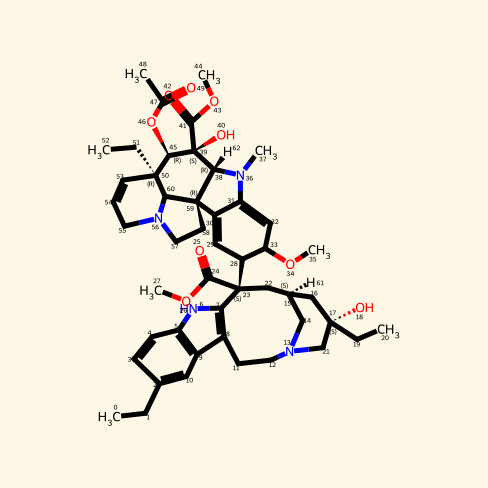 CCc1ccc2[nH]c3c(c2c1)CCN1C[C@H](C[C@@](O)(CC)C1)C[C@]3(C(=O)OC)C1C=C2C(=CC1OC)N(C)[C@H]1[C@@](O)(C(=O)OC)[C@H](OC(C)=O)[C@]3(CC)C=CCN4CC[C@]21C43